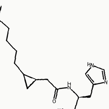 CCCCCCC1CC1CC(=O)N[C@@H](Cc1c[nH]cn1)C(=O)O